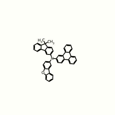 CC1(C)c2ccccc2-c2cc(N(c3ccc4oc5ccccc5c4c3)c3ccc4c5ccccc5c5ccccc5c4c3)ccc21